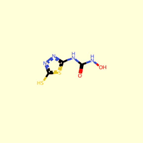 O=C(NO)Nc1nnc(S)s1